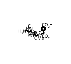 CO[C@H](COC(Cc1ccc(C(=O)O)cc1)(C(=O)O)C(=O)O)[C@@H](O)[C@@](C)(F)n1cnc2c(N)nc(Cl)nc21